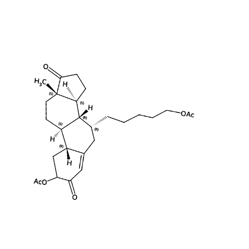 CC(=O)OCCCCC[C@@H]1CC2=CC(=O)C(OC(C)=O)C[C@@H]2[C@H]2CC[C@]3(C)C(=O)CC[C@H]3[C@H]12